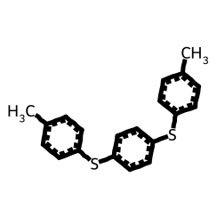 Cc1ccc(Sc2ccc(Sc3ccc(C)cc3)cc2)cc1